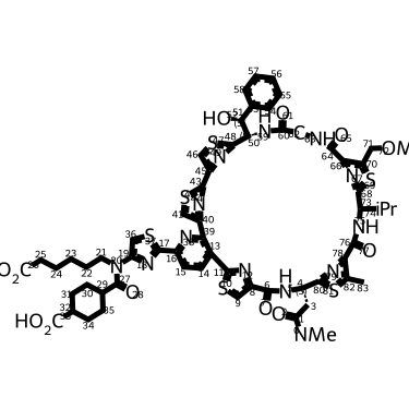 CNC(=O)C[C@@H]1NC(=O)c2csc(n2)-c2ccc(-c3nc(N(CCCCCC(=O)O)C(=O)C4CCC(C(=O)O)CC4)cs3)nc2-c2csc(n2)-c2csc(n2)[C@H]([C@@H](O)c2ccccc2)NC(=O)CNC(=O)c2nc(sc2COC)C(C(C)C)NC(=O)c2nc1sc2C